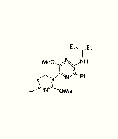 CCc1nc(-c2ccc(C(C)C)nc2OC)c(OC)nc1NC(CC)CC